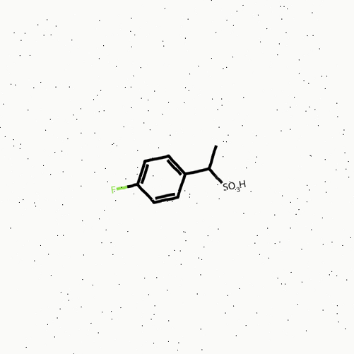 CC(c1ccc(F)cc1)S(=O)(=O)O